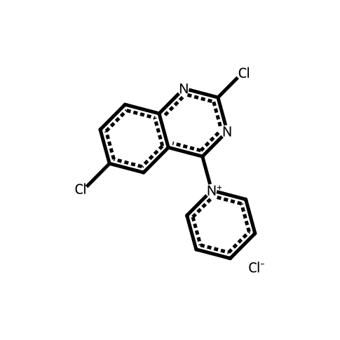 Clc1ccc2nc(Cl)nc(-[n+]3ccccc3)c2c1.[Cl-]